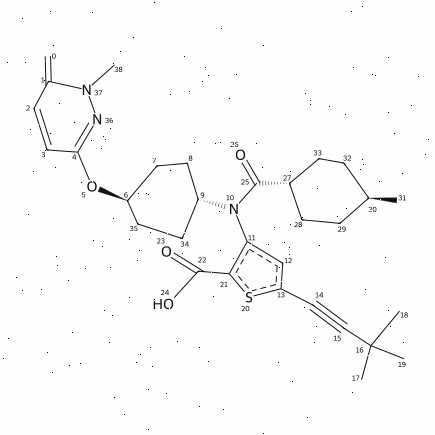 C=C1C=CC(O[C@H]2CC[C@H](N(c3cc(C#CC(C)(C)C)sc3C(=O)O)C(=O)[C@H]3CC[C@H](C)CC3)CC2)=NN1C